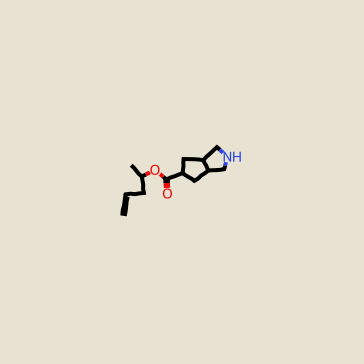 C=CCC(C)OC(=O)C1CC2CNCC2C1